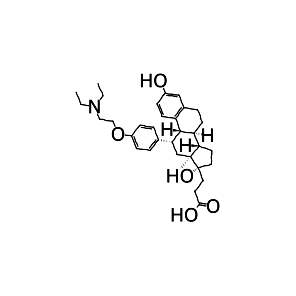 CCN(CC)CCOc1ccc([C@H]2C[C@@]3(C)[C@@H](CC[C@@]3(O)CCC(=O)O)[C@@H]3CCc4cc(O)ccc4[C@H]32)cc1